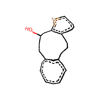 OC1Cc2ccccc2Cc2ccsc21